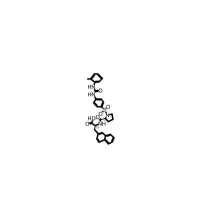 Cc1ccccc1NC(=O)Nc1ccc(S(=O)(=O)N2CCC[C@H]2C(=O)N[C@@H](Cc2ccc3ccccc3c2)C(=O)O)cc1